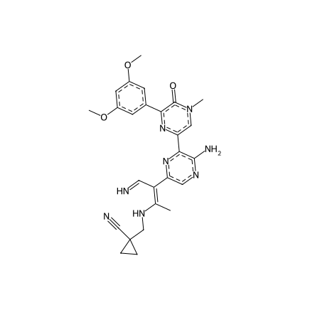 COc1cc(OC)cc(-c2nc(-c3nc(/C(C=N)=C(\C)NCC4(C#N)CC4)cnc3N)cn(C)c2=O)c1